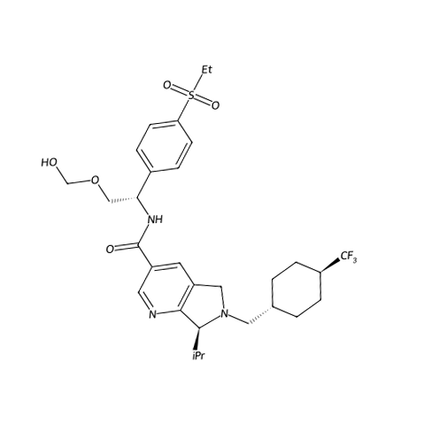 CCS(=O)(=O)c1ccc([C@@H](COCO)NC(=O)c2cnc3c(c2)CN(C[C@H]2CC[C@H](C(F)(F)F)CC2)[C@H]3C(C)C)cc1